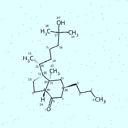 CCCC[C@H]1CC(=O)[C@@H]2CC[C@H]([C@H](C)CCCC(C)(C)O)[C@@]2(C)C1